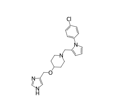 Clc1ccc(-n2cccc2CN2CCC(OCc3c[nH]cn3)CC2)cc1